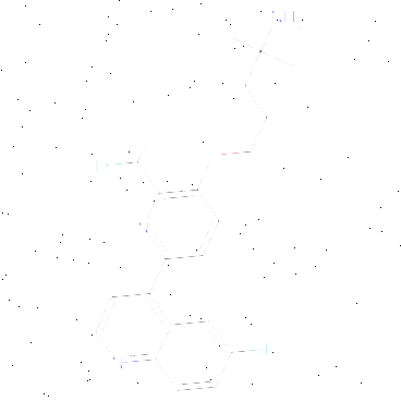 C[C@H](COc1ccc(-c2ccnc3ccc(F)cc23)nc1C(F)F)CC(C)(C)N